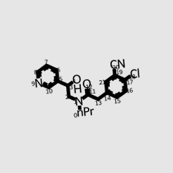 CCCN(CC(O)c1cccnc1)C(=O)Cc1ccc(Cl)c(C#N)c1